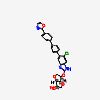 O[C@@H]1CO[C@H]2[C@@H]1OC[C@H]2Oc1nc2cc(-c3ccc(-c4ccc(-c5ncco5)cc4)cc3)c(Cl)cc2[nH]1